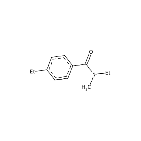 CCc1ccc(C(=O)N(C)CC)cc1